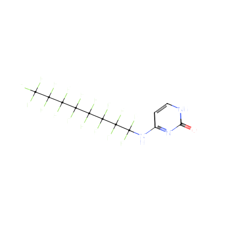 O=c1nc(NC(F)(F)C(F)(F)C(F)(F)C(F)(F)C(F)(F)C(F)(F)C(F)(F)C(F)(F)F)cc[nH]1